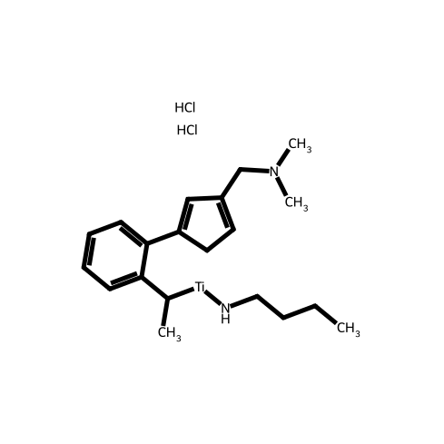 CCCC[NH][Ti][CH](C)c1ccccc1C1=CC(CN(C)C)=CC1.Cl.Cl